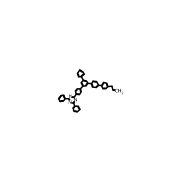 C=CCc1ccc(-c2ccc(-c3cc(-c4ccccc4)cc(-c4ccc(-c5nc(-c6ccccc6)nc(-c6ccccc6)n5)cc4)c3)cc2)cc1